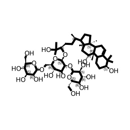 C[C@H](CC[C@@H](O[C@@H]1O[C@H](CO[C@@H]2O[C@H](CO)[C@@H](O)[C@H](O)[C@H]2O)[C@@H](O)[C@H](O)[C@H]1OC1O[C@@H](CO)[C@H](O)[C@@H](O)[C@@H]1O)C(C)(C)O)C1CC[C@@]2(C)C3CC=C4C(CC[C@H](O)C4(C)C)[C@]3(C)[C@H](O)C[C@]12C